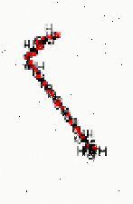 CC(C)(C)OC(=O)N[C@H]1CC[C@H](N(C(=O)O)C2CC2c2ccc(-c3cccc(CCC(=O)NCCOCCOCCOCCOCCOCCOCCOCCOCCOCCOCCOCCNC(=O)CCCC[C@@H]4SC[C@@H]5NC(=O)N[C@@H]54)c3)cc2)CC1